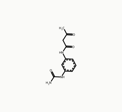 CC(=O)CC(=O)Nc1cccc(NC(N)=O)c1